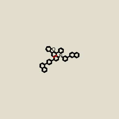 C1=CC2Oc3c(-c4ccccc4N(c4ccc(-c5ccc(-c6cccc7ccccc67)cc5)cc4)c4cccc(-c5ccc6ccccc6c5)c4)cccc3C2C=C1